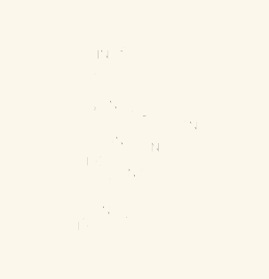 C[C@H]1CN(C)CCCN1c1nc(C#N)cc(N2CCC3NCCC32)n1